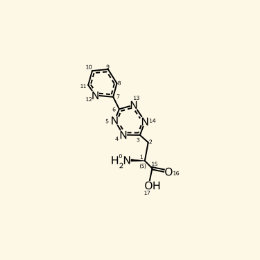 N[C@@H](Cc1nnc(-c2ccccn2)nn1)C(=O)O